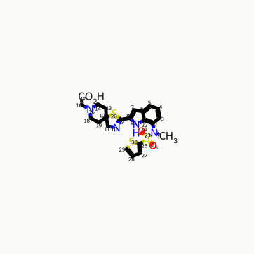 CN(c1cccc2cc(C3=NCC4(CCN(CC(=O)O)CC4)S3)[nH]c12)S(=O)(=O)c1cccs1